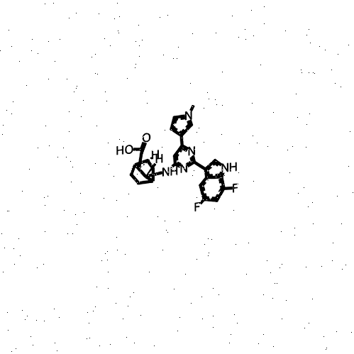 Cn1ccc(-c2cc(N[C@@H]3C4CCC(CC4)[C@H]3C(=O)O)nc(-c3c[nH]c4c(F)cc(F)cc34)n2)c1